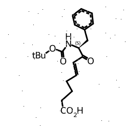 CC(C)(C)OC(=O)N[C@@H](Cc1ccccc1)C(=O)C=CCCCC(=O)O